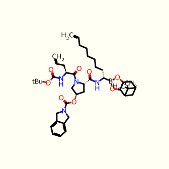 C=CCCCCCC[C@@H](NC(=O)[C@@H]1C[C@@H](OC(=O)N2Cc3ccccc3C2)CN1C(=O)[C@H](CC=C)NC(=O)OC(C)(C)C)B1OC2CC3CC(C2O1)C3(C)C